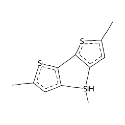 Cc1cc2c(s1)-c1sc(C)cc1[SiH]2C